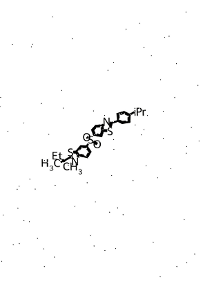 CCC(C)(C)c1nc2ccc(S(=O)(=O)c3ccc4nc(-c5ccc(C(C)C)cc5)sc4c3)cc2s1